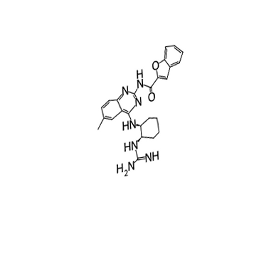 Cc1ccc2nc(NC(=O)c3cc4ccccc4o3)nc(N[C@H]3CCCC[C@H]3NC(=N)N)c2c1